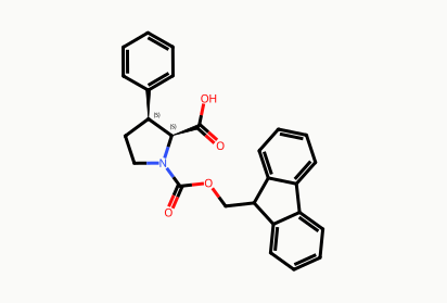 O=C(O)[C@@H]1[C@H](c2ccccc2)CCN1C(=O)OCC1c2ccccc2-c2ccccc21